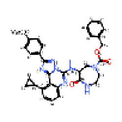 COc1ccc(-c2nc3c4c(C5CC5)cccc4nc(NC4CN(C(=O)OCc5ccccc5)CCNC4=O)n3n2)cc1